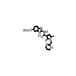 COc1ccc2nc(NC(=O)c3cc(C)n(Cc4ncccn4)c3C)[nH]c2c1